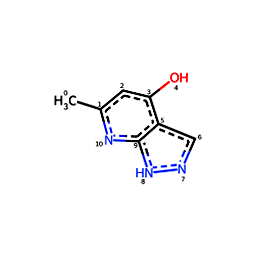 Cc1cc(O)c2cn[nH]c2n1